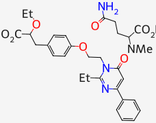 CCOC(Cc1ccc(OCCn2c(CC)nc(-c3ccccc3)cc2=O)cc1)C(=O)O.CNC(CCC(N)=O)C(=O)O